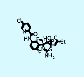 CCC(=C[C@]12C[C@H]1[C@@](CF)(c1cc(NC(=O)c3ccc(Cl)cn3)ccc1F)N=C(N)S2)C(=O)O